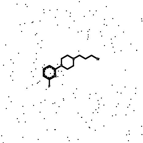 Fc1cccc(N2CCN(CCCBr)CC2)n1